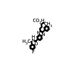 CC(CCCc1nc2cc(C(=O)N[C@H](C)c3ccc(F)cc3)ccc2nc1-c1ccccc1)C(=O)O